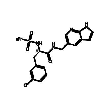 CCCS(=O)(=O)N[C@@H](Cc1cccc(Cl)c1)C(=O)NCc1cnc2[nH]ccc2c1